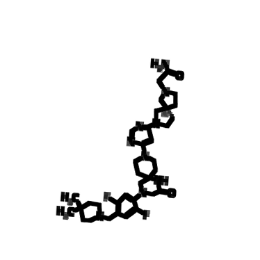 CC1(C)CCN(Cc2cc(F)c(N3CC(=O)NC4(CCN(c5cc(N6CC[C@]7(CCN(CC(N)=O)C7)C6)ncn5)CC4)C3)cc2F)CC1